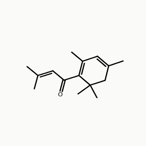 CC(C)=CC(=O)C1=C(C)C=C(C)CC1(C)C